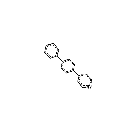 c1ccc(-c2ccc(-c3ccncc3)cc2)cc1